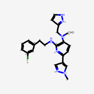 Cn1cc(-c2ccc(N(C=O)Cc3cc[nH]n3)c(NCCc3cccc(F)c3)n2)cn1